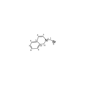 BrCN1C=Cc2ccccc2C1